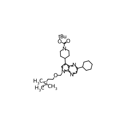 CC(C)(C)OC(=O)N1CCC(c2cn(COCC[Si](C)(C)C)c3ncc(C4CCCCC4)nc23)CC1